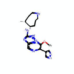 CC(C)Oc1c(-c2cn[nH]c2)ncc2nc(N[C@H]3CCNC[C@H]3C)nn12